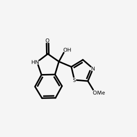 COc1ncc(C2(O)C(=O)Nc3ccccc32)s1